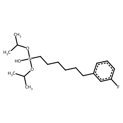 CC(C)O[Si](O)(CCCCCCc1cccc(F)c1)OC(C)C